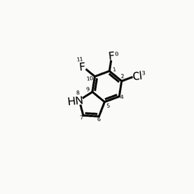 Fc1c(Cl)cc2cc[nH]c2c1F